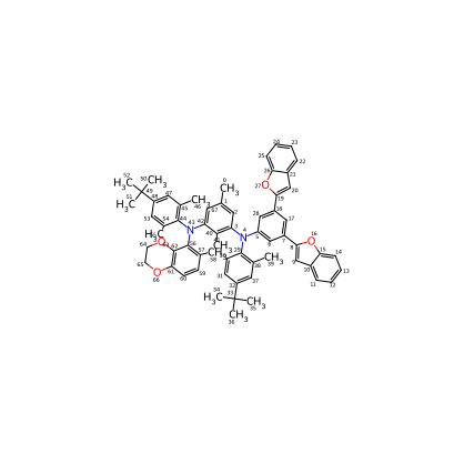 Cc1cc(N(c2cc(-c3cc4ccccc4o3)cc(-c3cc4ccccc4o3)c2)c2ccc(C(C)(C)C)cc2C)c(C)c(N(c2c(C)cc(C(C)(C)C)cc2C)c2c(C)ccc3c2OCCO3)c1